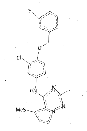 CSc1ccn2nc(C)nc(Nc3ccc(OCc4cccc(F)c4)c(Cl)c3)c12